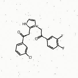 O=C(Cc1[nH]cc[n+]1CC(=O)c1ccc(F)c(F)c1)c1cccc(Cl)c1